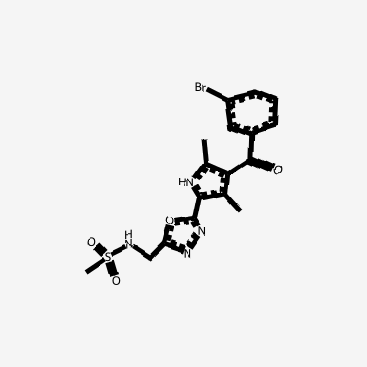 Cc1[nH]c(-c2nnc(CNS(C)(=O)=O)o2)c(C)c1C(=O)c1cccc(Br)c1